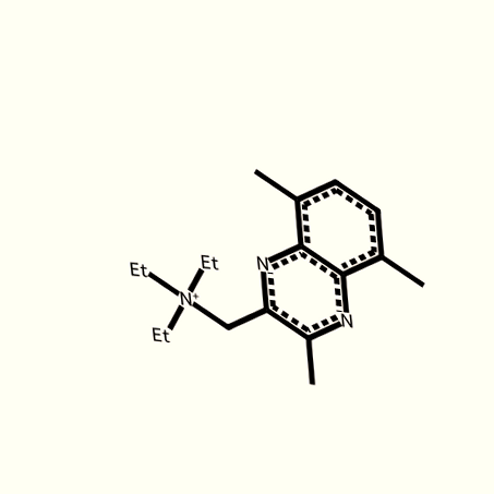 CC[N+](CC)(CC)Cc1nc2c(C)ccc(C)c2nc1C